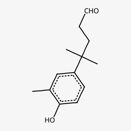 Cc1cc(C(C)(C)CCC=O)ccc1O